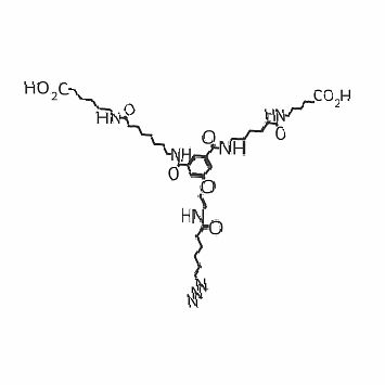 [N-]=[N+]=NCCCCCC(=O)NCCOc1cc(C(=O)NCCCCCCCC(=O)NCCCCCC(=O)O)cc(C(=O)NCCCCCC(=O)NCCCCCC(=O)O)c1